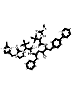 COC(=O)NC(C(=O)NC(Cc1ccc(-c2ccccn2)cc1)C(O)CC(Cc1ccccc1)NC(=O)C(N1CCN(Cc2csc(C)n2)C1=O)C(C)(C)C)C(C)(C)C